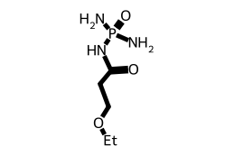 CCOCCC(=O)NP(N)(N)=O